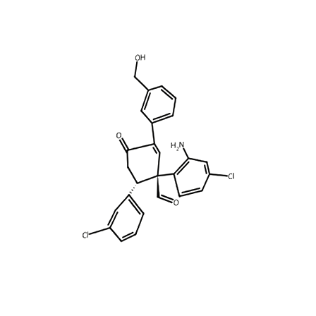 Nc1cc(Cl)ccc1[C@@]1(C=O)C=C(c2cccc(CO)c2)C(=O)C[C@H]1c1cccc(Cl)c1